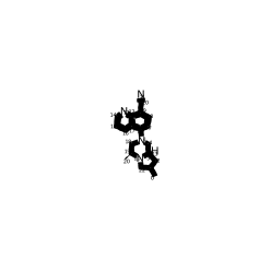 CC1C[C@H]2CN(c3ccc(C#N)c4ncccc34)C[C@@H](C)N2C1